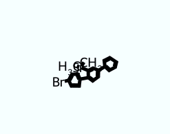 C[Si]1(C)c2cc(Br)ccc2-c2ccc(-c3ccccc3)cc21